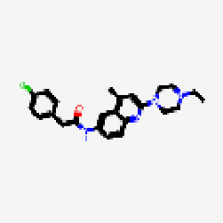 CCN1CCN(c2cc(C)c3cc(NC(=O)Cc4ccc(Cl)cc4)ccc3n2)CC1